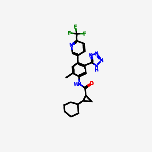 Cc1cc(-c2ccc(C(F)(F)F)nc2)c(-c2nnn[nH]2)cc1NC(=O)C1CC1C1CCCCC1